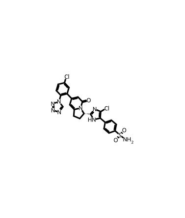 NS(=O)(=O)c1ccc(-c2[nH]c([C@@H]3CCc4cc(-c5cc(Cl)ccc5-n5cnnn5)cc(=O)n43)nc2Cl)cc1